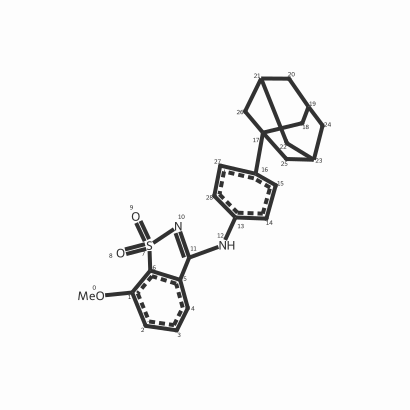 COc1cccc2c1S(=O)(=O)N=C2Nc1ccc(C23CC4CC(CC(C4)C2)C3)cc1